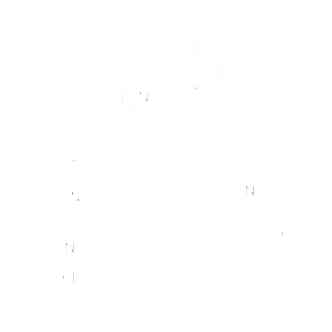 CCC(N)(Cc1ccc(C(=O)N2CCN(C)CC2)cc1)C(=O)c1ccc(N2CCOCC2)cc1